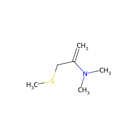 C=C(CSC)N(C)C